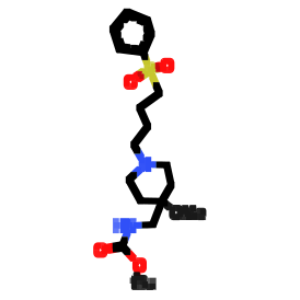 COC1(CNC(=O)OC(C)(C)C)CCN(CCCCS(=O)(=O)c2ccccc2)CC1